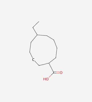 CCC1CCCCC(C(=O)O)CCCC1